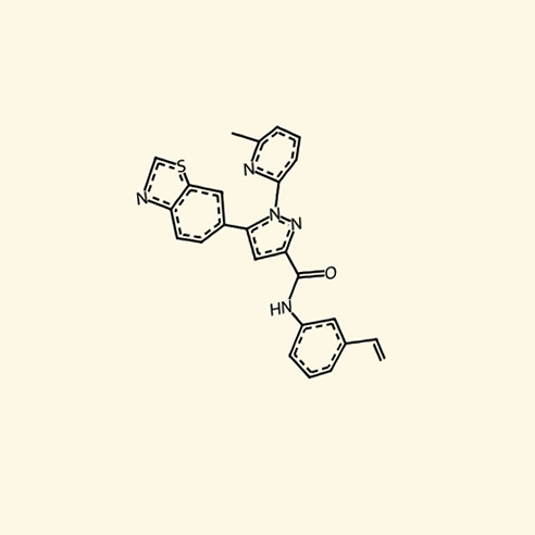 C=Cc1cccc(NC(=O)c2cc(-c3ccc4ncsc4c3)n(-c3cccc(C)n3)n2)c1